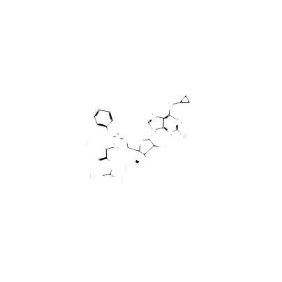 C#C[C@]1(CO[P@@](=O)(N[C@@H](C)C(=O)OC(C)C)Oc2ccccc2)O[C@@H](n2cnc3c(NC4CC4)nc(N)nc32)C(O)C1O